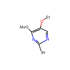 CCOc1cnc(C(C)C)nc1OC